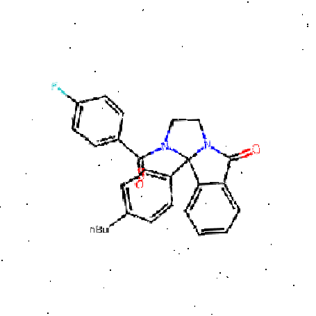 CCCCc1ccc(C23c4ccccc4C(=O)N2CCN3C(=O)c2ccc(F)cc2)cc1